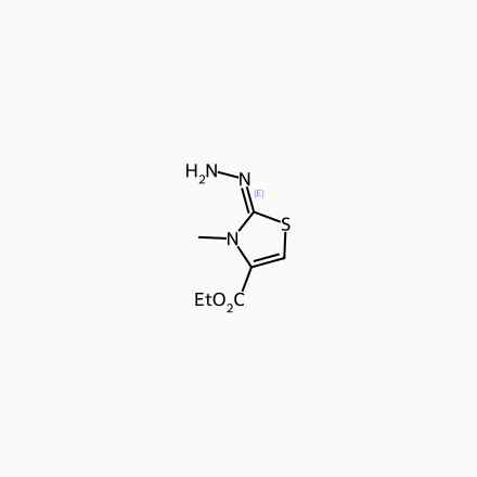 CCOC(=O)c1cs/c(=N/N)n1C